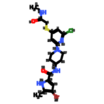 CNC(=O)CSc1cc(Cl)nc(N2CCC(NC(=O)c3cc(Br)c(C)[nH]3)CC2)c1